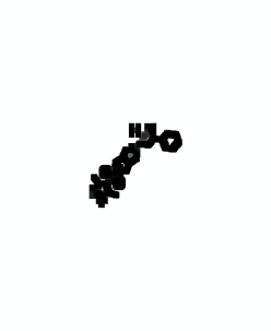 Cc1nn(C)c(C)c1S(=O)(=O)N1CC2CN(CC[C@H](N)c3ccccc3)CC2C1